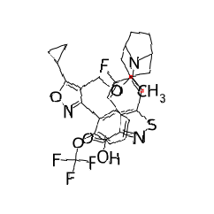 CC1(OCc2c(-c3ccccc3OC(F)(F)F)noc2C2CC2)CC2CCC(C1)N2c1cc2snc(C(=O)O)c2cc1F